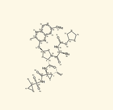 C=C[C@@H]1C[C@]1(NC(=O)[C@@H]1C[C@@H](Oc2nc3cc(OC)ccc3nc2C)CN1C(=O)[C@@H](NC(=O)OC1CCCC1)C(C)(C)C)C(=O)NS(=O)(=O)C1(C)CC1